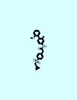 COc1ccccc1-c1ccc(NC(=O)Cc2ccc(S(=O)(=O)CC3CC3)cc2)cc1C